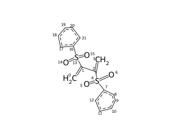 C=C(C(=C)S(=O)(=O)c1ccccc1)S(=O)(=O)c1ccccc1